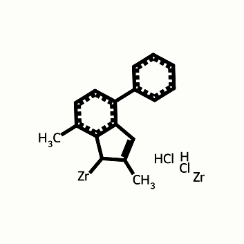 CC1=Cc2c(-c3ccccc3)ccc(C)c2[CH]1[Zr].Cl.Cl.[Zr]